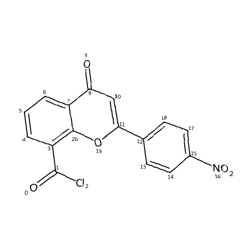 O=C(Cl)c1cccc2c(=O)cc(-c3ccc([N+](=O)[O-])cc3)oc12